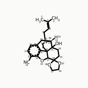 CC(C)=CCN1CCC23c4c5ccc(C#N)c4OC2C2(CCC3(O)[C@H]1C5)OCCO2